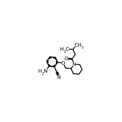 CC(C)CC(=O)N1CCCCC1COc1cccc(N)c1C#N